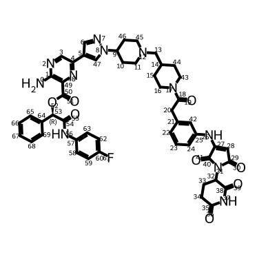 Nc1ncc(-c2cnn(C3CCN(CC4CCN(C(=O)Cc5cccc(NC6=CC(=O)N(C7CCC(=O)NC7=O)C6=O)c5)CC4)CC3)c2)nc1C(=O)O[C@@H](C(=O)Nc1ccc(F)cc1)c1ccccc1